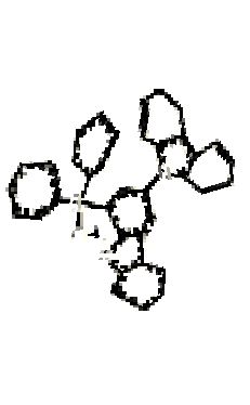 C[Si](c1ccccc1)(c1ccccc1)c1cc(-n2c3c(c4c2CCC=C4)CCC=C3)cc2c1oc1ccccc12